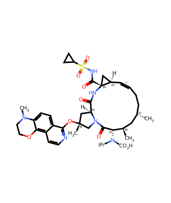 CC(C)N(C(=O)O)[C@@H]1C(=O)N2C[C@](C)(Oc3nccc4c5c(ccc34)N(C)CCO5)C[C@H]2C(=O)N[C@]2(C(=O)NS(=O)(=O)C3CC3)C[C@H]2/C=C\CC[C@H](C)C[C@H]1C